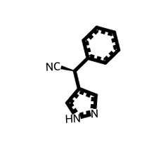 N#C[C@@H](c1ccccc1)c1cn[nH]c1